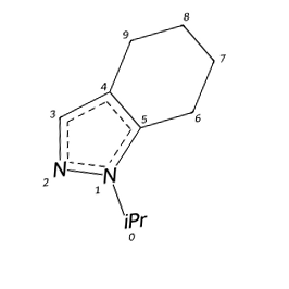 CC(C)n1ncc2c1CCCC2